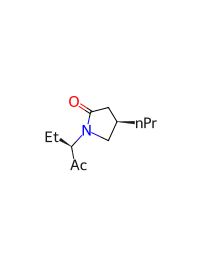 CCC[C@@H]1CC(=O)N([C@H](CC)C(C)=O)C1